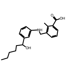 CCCCCC(O)c1cccc(NCc2cccc(C(=O)O)c2C)c1